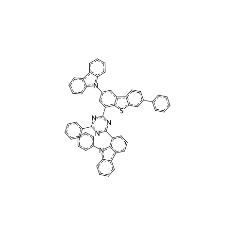 c1ccc(-c2ccc3c(c2)sc2c(-c4nc(-c5ccccc5)nc(-c5cccc6c7ccccc7n(-c7ccccc7)c56)n4)cc(-n4c5ccccc5c5ccccc54)cc23)cc1